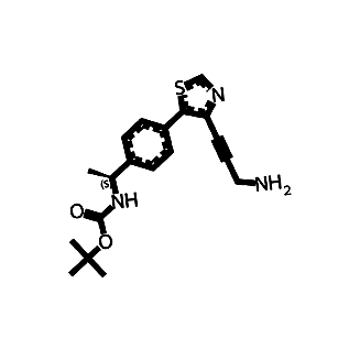 C[C@H](NC(=O)OC(C)(C)C)c1ccc(-c2scnc2C#CCN)cc1